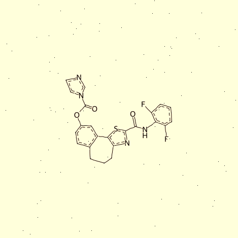 O=C(Nc1c(F)cccc1F)c1nc2c(s1)-c1cc(OC(=O)n3ccnc3)ccc1CCC2